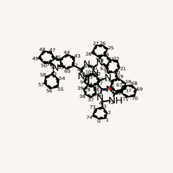 c1ccc(C2=NC(c3ccccc3-n3c4ccccc4c4ccc5c6ccccc6n(-c6nc(-c7ccccc7)nc(-c7ccc8c9ccccc9n(-c9ccccc9)c8c7)n6)c5c43)=NC(c3ccccc3)N2)cc1